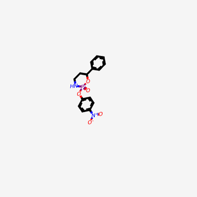 O=[N+]([O-])c1ccc(OP2(=O)NCCC(c3ccccc3)O2)cc1